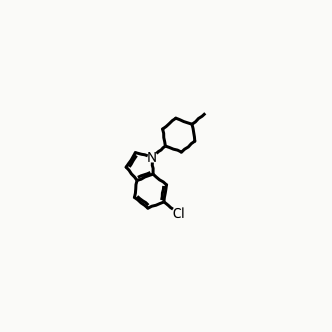 CC1CCC(n2ccc3ccc(Cl)cc32)CC1